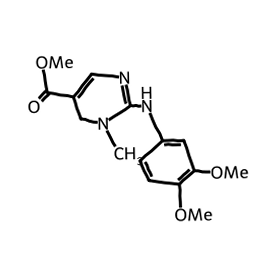 COC(=O)C1=CN=C(Nc2ccc(OC)c(OC)c2)N(C)C1